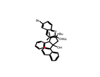 CCCCC(CC(O)(c1cccc2ccccc12)C(c1ccccc1)c1cc2cc(Br)ccc2nc1OC)N(C)C